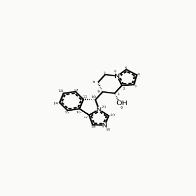 O[C@H]1c2cccn2CC[C@H]1[C@H]1c2ccccc2-c2cncn21